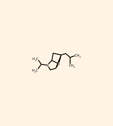 CC(C)CC12CC3B1C2CN3C(C)C